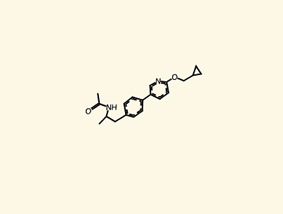 CC(=O)NC(C)Cc1ccc(-c2ccc(OCC3CC3)nc2)cc1